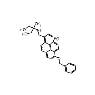 CC(CO)(CO)NCc1ccc2ccc3c(OCc4ccccc4)ccc4ccc1c2c43.Cl